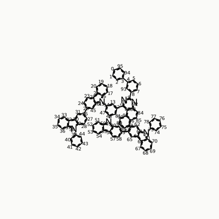 c1ccc(-c2cccc(-c3nc(-c4cc(-n5c6ccccc6c6ccc(-c7ccc8c(c7)c7ccccc7n8-c7ccccc7)cc65)cc(-n5c6ccccc6c6ccc(-c7ccc8c(c7)c7ccccc7n8-c7ccccc7)cc65)c4)c4c(ccc5ccccc54)n3)c2)cc1